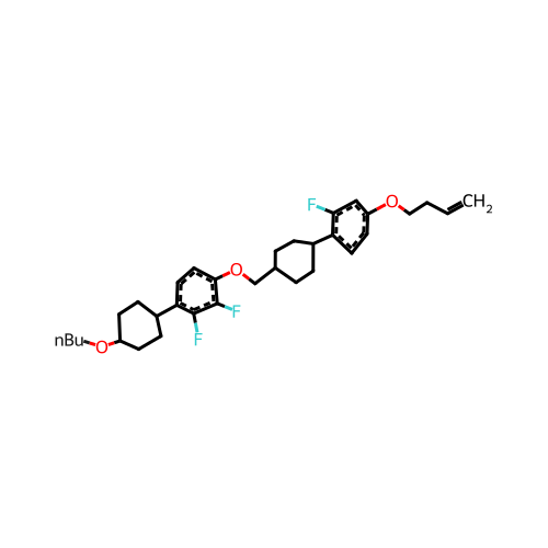 C=CCCOc1ccc(C2CCC(COc3ccc(C4CCC(OCCCC)CC4)c(F)c3F)CC2)c(F)c1